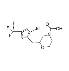 O=C(O)N1CCOC(Cn2nc(C(F)(F)F)cc2Br)C1